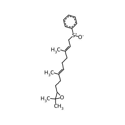 C/C(=C\C[S+]([O-])c1ccccc1)CC/C=C(\C)CCC1OC1(C)C